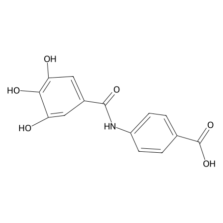 O=C(O)c1ccc(NC(=O)c2cc(O)c(O)c(O)c2)cc1